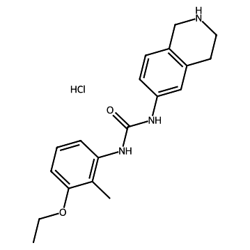 CCOc1cccc(NC(=O)Nc2ccc3c(c2)CCNC3)c1C.Cl